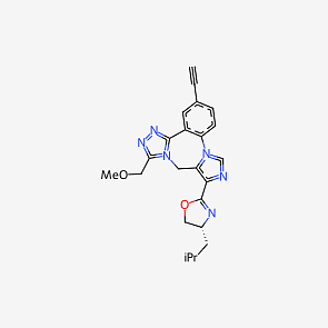 C#Cc1ccc2c(c1)-c1nnc(COC)n1Cc1c(C3=N[C@H](CC(C)C)CO3)ncn1-2